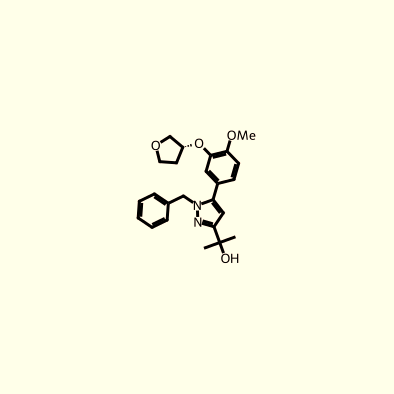 COc1ccc(-c2cc(C(C)(C)O)nn2Cc2ccccc2)cc1O[C@@H]1CCOC1